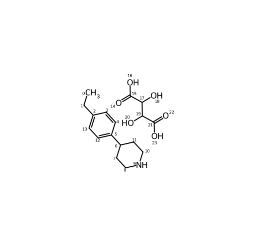 CCc1ccc(C2CCNCC2)cc1.O=C(O)C(O)C(O)C(=O)O